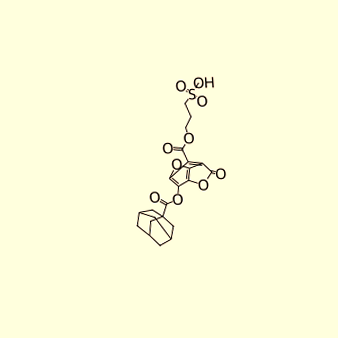 O=C1Oc2c(OC(=O)C34CC5CC(CC(C5)C3)C4)c3oc2c1c3C(=O)OCCCS(=O)(=O)O